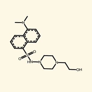 CN(C)c1cccc2c(S(=O)(=O)NN3CCN(CCO)CC3)cccc12